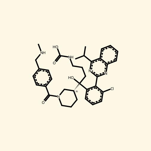 CNCc1ccc(C(=O)N2CCC[C@@H](C(O)(CCCNC(=O)O)c3cccc(Cl)c3-c3nc(C(C)C)c4ccccc4n3)C2)cc1